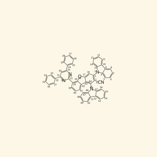 N#Cc1c(-n2c3ccccc3c3ccccc32)cc2oc3c(-c4nc(-c5ccccc5)cc(-c5ccccc5)n4)cccc3c2c1-n1c2ccccc2c2ccccc21